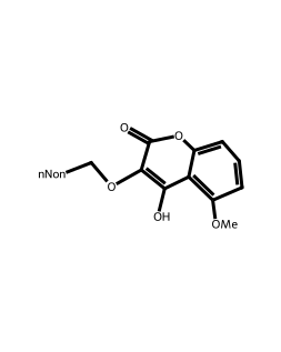 CCCCCCCCCCOc1c(O)c2c(OC)cccc2oc1=O